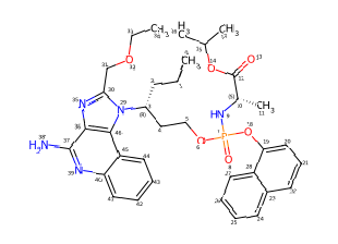 CCC[C@H](CCOP(=O)(N[C@@H](C)C(=O)OC(C)C)Oc1cccc2ccccc12)n1c(COCC)nc2c(N)nc3ccccc3c21